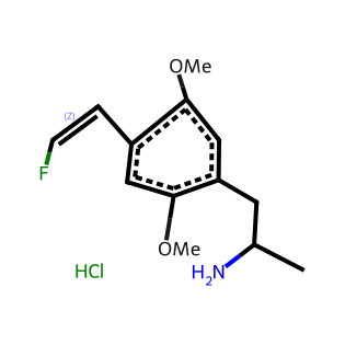 COc1cc(CC(C)N)c(OC)cc1/C=C\F.Cl